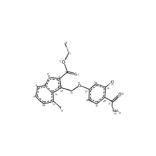 CCOC(=O)c1sc2cccc(F)c2c1COc1ccc(C(N)=O)c(Cl)c1